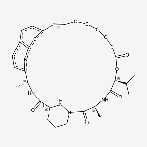 CC(C)[C@@H]1OC(=O)CCCCO/C=C/c2ccc3ccc(nc3c2)[C@@H](C)NC(=O)[C@@H]2CCCN(N2)C(=O)[C@H](C)NC1=O